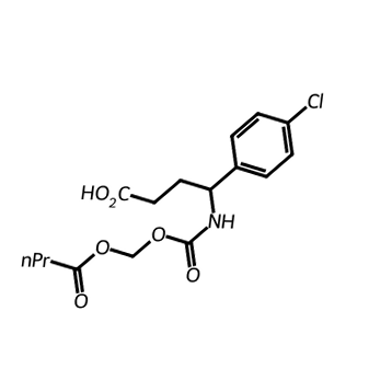 CCCC(=O)OCOC(=O)NC(CCC(=O)O)c1ccc(Cl)cc1